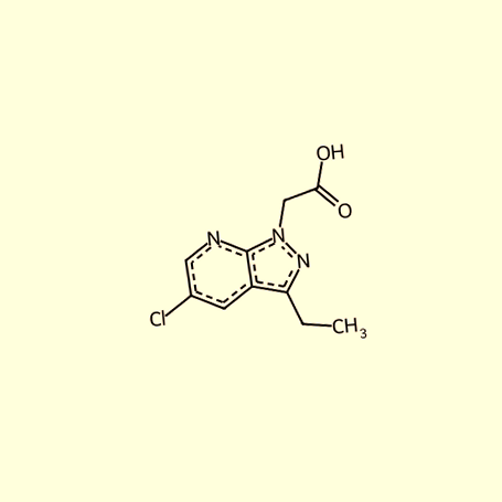 CCc1nn(CC(=O)O)c2ncc(Cl)cc12